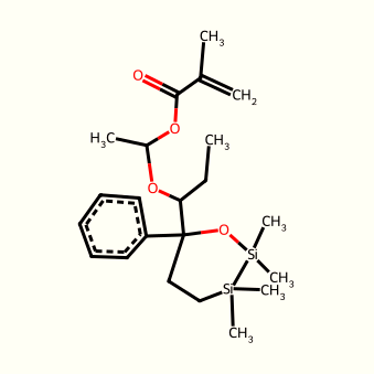 C=C(C)C(=O)OC(C)OC(CC)C1(c2ccccc2)CC[Si](C)(C)[Si](C)(C)O1